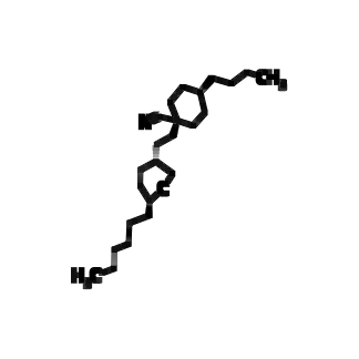 CCCCCC[C@H]1CC[C@H](CC[C@]2(C#N)CC[C@H](CCCC)CC2)CC1